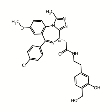 COc1ccc2c(c1)C(c1ccc(Cl)cc1)=N[C@@H](CC(=O)NCCc1ccc(CO)c(O)c1)c1nnc(C)n1-2